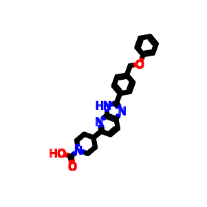 O=C(O)N1CCC(c2ccc3nc(-c4ccc(COc5ccccc5)cc4)[nH]c3n2)CC1